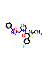 Cc1nc(C(=O)N2CCOCC2Cc2nnc(-c3ccccc3)o2)c(-c2ccc(F)cc2)s1